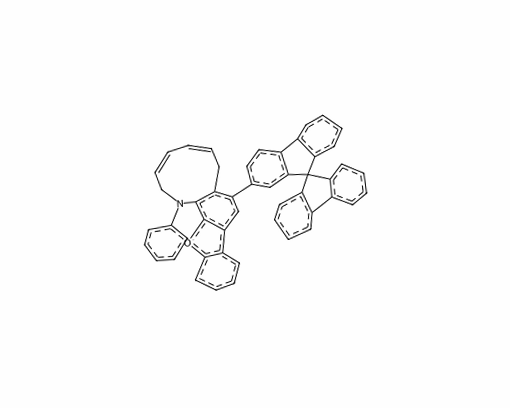 C1=C\Cc2c(-c3ccc4c(c3)C3(c5ccccc5-c5ccccc53)c3ccccc3-4)cc3c(oc4ccccc43)c2N(c2ccccc2)C\C=C/1